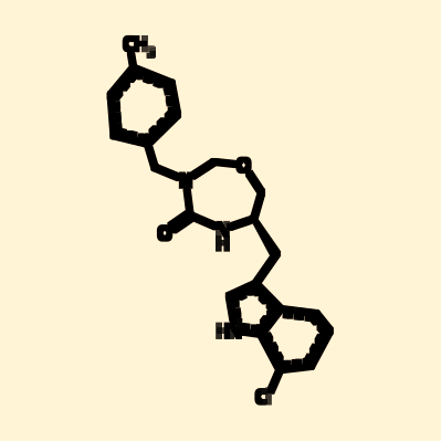 Cc1ccc(CN2COC[C@@H](Cc3c[nH]c4c(Cl)cccc34)NC2=O)cc1